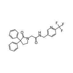 O=C(CN1CCC(c2ccccc2)(c2ccccc2)C1=O)NCc1ccc(C(F)(F)F)nc1